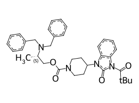 C[C@@H](COC(=O)N1CCC(n2c(=O)n(C(=O)C(C)(C)C)c3ccccc32)CC1)N(Cc1ccccc1)Cc1ccccc1